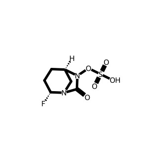 O=C1N2C[C@@H](CC[C@H]2F)N1OS(=O)(=O)O